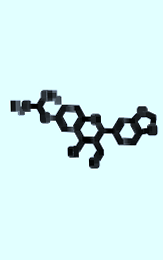 CC(C)Oc1ccc2c(c1)C(Cl)=C(C=O)C(c1ccc3c(c1)OCO3)O2